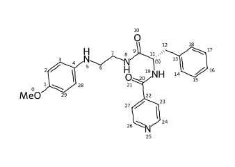 COc1ccc(NCCNC(=O)[C@H](Cc2ccccc2)NC(=O)c2ccncc2)cc1